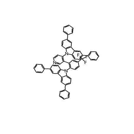 FC(F)(F)c1ccc(-n2c3ccc(-c4ccccc4)cc3c3cc(-c4ccccc4)ccc32)c(-c2cnccc2-n2c3ccc(-c4ccccc4)cc3c3cc(-c4ccccc4)ccc32)c1